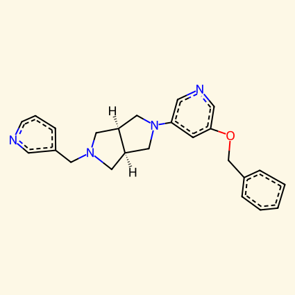 c1ccc(COc2cncc(N3C[C@H]4CN(Cc5cccnc5)C[C@H]4C3)c2)cc1